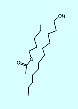 CCCCCCCCCCCCO.CCCCCOC(C)=O